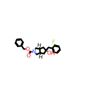 O=C(OCc1ccccc1)N1C[C@@H]2CC(O)(Cc3ccccc3F)C[C@@H]2C1